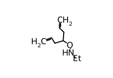 C=CCC(CC=C)ONCC